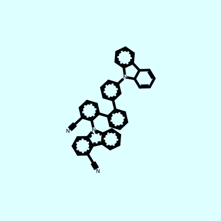 N#Cc1cccc(-c2ccccc2-c2cccc(N3c4ccccc4C4C=CC=CC43)c2)c1-n1c2ccccc2c2c(C#N)cccc21